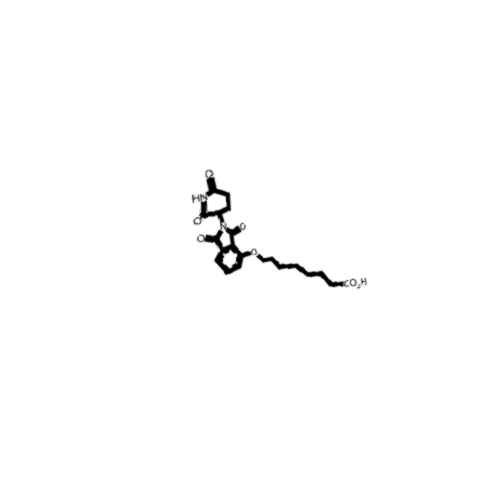 O=C(O)CCCCCCCOc1cccc2c1C(=O)N(C1CCC(=O)NC1=O)C2=O